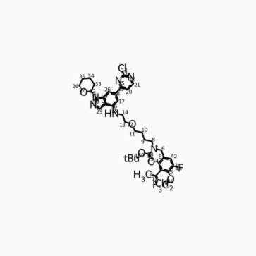 C=C(C)c1cc(CN(CCCCOCCNc2cc(-c3ccnc(Cl)n3)cc3c2cnn3C2CCCCO2)C(=O)OC(C)(C)C)cc(F)c1OC(F)(F)F